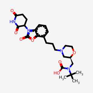 CC(C)(C)N(C[C@H]1CN(CCCc2cccc3c2oc(=O)n3C2CCC(=O)NC2=O)CCO1)C(=O)O